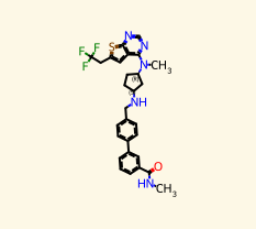 CNC(=O)c1cccc(-c2ccc(CN[C@H]3CC[C@@H](N(C)c4ncnc5sc(CC(F)(F)F)cc45)C3)cc2)c1